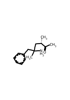 CC(=O)[C@@H](C)CC(C)(N)Cc1ccccc1